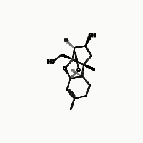 CC1=C[C@]23O[C@@H]4[C@@H](O)C[C@](C)([C@@]2(C)CC1)[C@]4(CO)O3